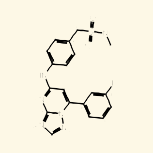 CNS(=O)(=O)Cc1ccc(Nc2cc(-c3cccc(F)c3)n3ncnc3n2)cc1